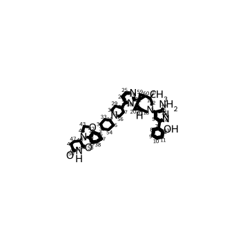 C[C@H]1CN(c2cc(-c3ccccc3O)nnc2N)C[C@@H]2CC2[C@]2(c3nccc(C4CCN([C@H]5CC[C@@H](c6cccc7c6OCCN7C6CCC(=O)NC6=O)CC5)CC4)n3)CC12